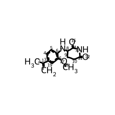 C=C(C)c1ccc(NC2CCC(=O)NC2=O)c(OC)c1